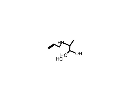 C=CCNC(C)C(O)O.Cl